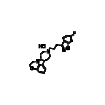 Cl.Fc1ccc2c(CCCN3CCC4c5cccc6c5N(CCO6)C4CC3)noc2c1